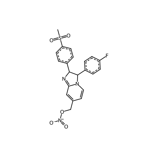 CS(=O)(=O)c1ccc(C2N=C3C=C(CO[N+](=O)[O-])C=CN3C2c2ccc(F)cc2)cc1